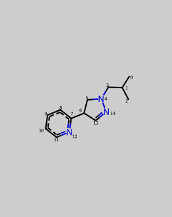 CC(C)CN1CC(c2ccccn2)C=N1